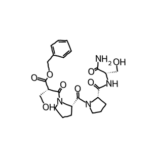 NC(=O)[C@H](CO)NC(=O)[C@@H]1CCCN1C(=O)[C@@H]1CCCN1C(=O)[C@H](CO)C(=O)OCc1ccccc1